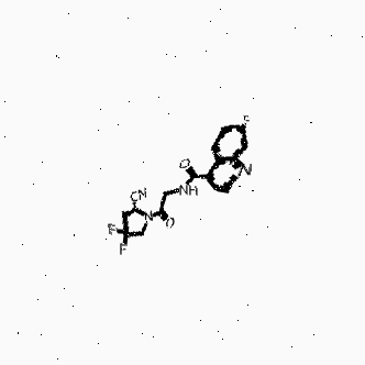 N#C[C@@H]1CC(F)(F)CN1C(=O)CNC(=O)c1ccnc2cc(F)ccc12